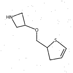 C1=CSC(COC2CNC2)C1